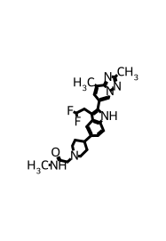 CNC(=O)CN1CCC(c2ccc3[nH]c(-c4cc(C)c5nc(C)nn5c4)c(CC(F)F)c3c2)CC1